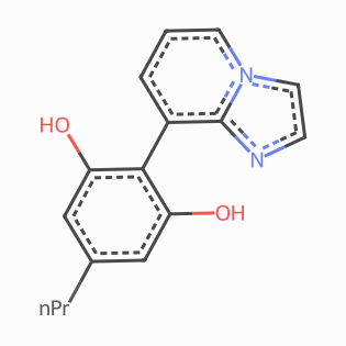 CCCc1cc(O)c(-c2cccn3ccnc23)c(O)c1